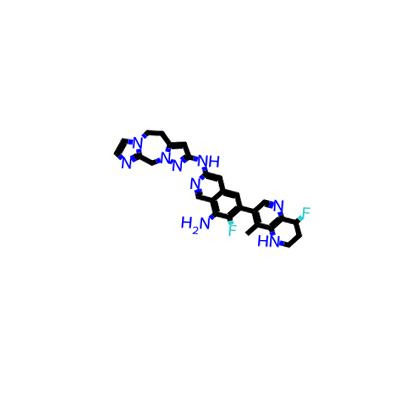 Cc1c(-c2cc3cc(Nc4cc5n(n4)Cc4nccn4CC5)ncc3c(N)c2F)cnc2c1NCCC2F